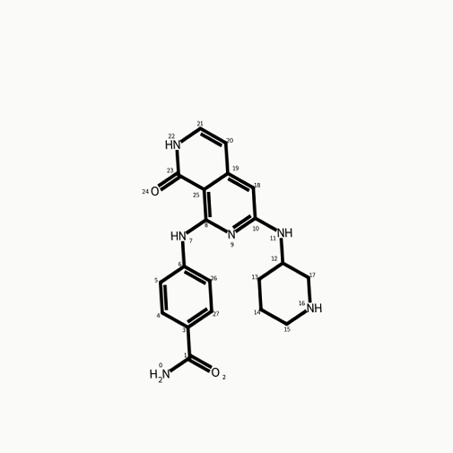 NC(=O)c1ccc(Nc2nc(NC3CCCNC3)cc3cc[nH]c(=O)c23)cc1